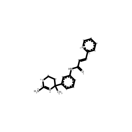 CC1(c2cccc(NC(=O)/C=C/c3ccccn3)c2)CCSC(N)=N1